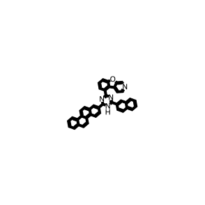 c1ccc2cc(C3=NC(c4cccc5oc6cnccc6c45)=NC(c4ccc5c(ccc6c7ccccc7ccc56)c4)N3)ccc2c1